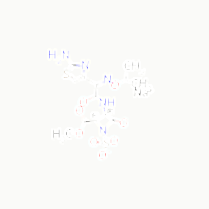 COC(=O)[C@H]1[C@@H](NC(=O)C(=NOC(C)C)c2csc(N)n2)C(=O)N1S(=O)(=O)[O-].[Na+]